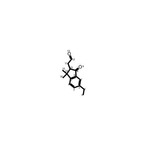 CCc1ccc2c(c1)C(=O)C(CC=O)C2(C)C